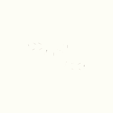 CC(C)(SCCC(=O)c1ccc2ccccc2c1)SCCC(=O)c1ccc2ccccc2c1